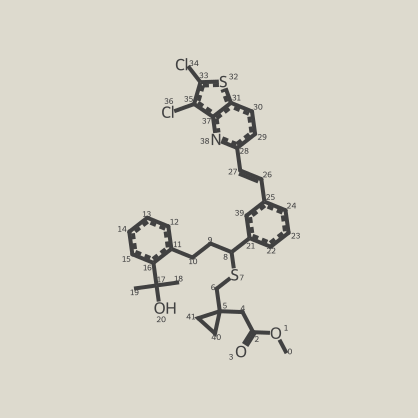 COC(=O)CC1(CSC(CCc2ccccc2C(C)(C)O)c2cccc(/C=C/c3ccc4sc(Cl)c(Cl)c4n3)c2)CC1